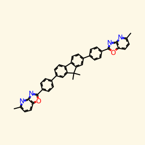 Cc1ccc2oc(-c3ccc(-c4ccc5c(c4)C(C)(C)c4cc(-c6ccc(-c7nc8nc(C)ccc8o7)cc6)ccc4-5)cc3)nc2n1